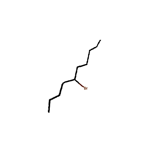 CCCCCC(Br)CCCC